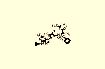 CC(C)OC(=O)C(C)NP(=O)(OC[C@H]1O[C@@H](n2cnc3c(NC4CC4)nc(N)nc32)[C@@H](C)[C@@H]1O)Oc1ccccc1